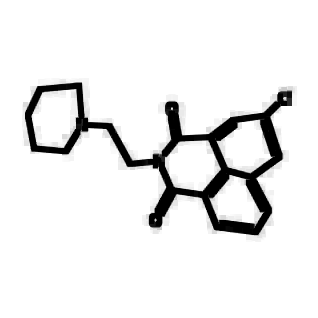 O=C1c2cccc3cc(Cl)cc(c23)C(=O)N1CCN1CCCCC1